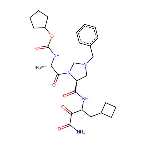 CC(C)(C)[C@H](NC(=O)OC1CCCC1)C(=O)N1CN(Cc2ccccc2)C[C@H]1C(=O)NC(CC1CCC1)C(=O)C(N)=O